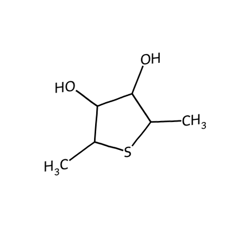 CC1SC(C)C(O)C1O